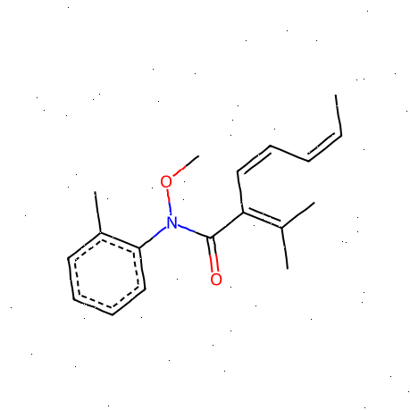 C/C=C\C=C/C(C(=O)N(OC)c1ccccc1C)=C(C)C